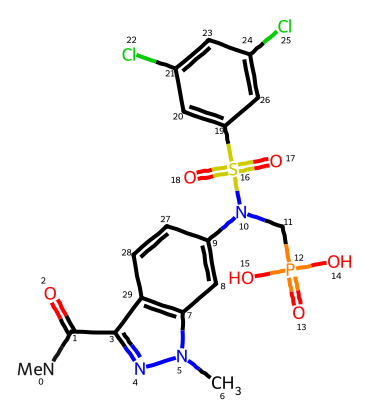 CNC(=O)c1nn(C)c2cc(N(CP(=O)(O)O)S(=O)(=O)c3cc(Cl)cc(Cl)c3)ccc12